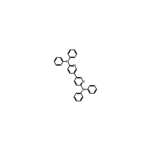 c1ccc(N(c2ccccc2)c2ccc(-c3ccc(N(c4ccccc4)c4ccccc4)nc3)cn2)cc1